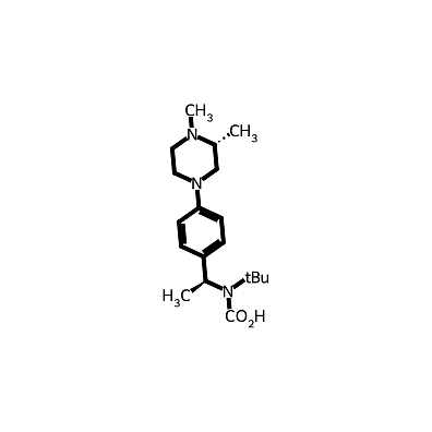 C[C@@H]1CN(c2ccc([C@H](C)N(C(=O)O)C(C)(C)C)cc2)CCN1C